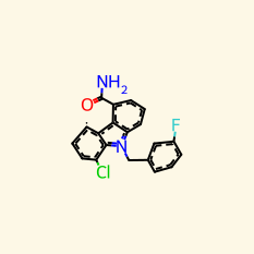 NC(=O)c1cccc2c1c1[c]ccc(Cl)c1n2Cc1cccc(F)c1